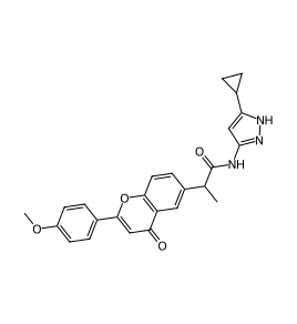 COc1ccc(-c2cc(=O)c3cc(C(C)C(=O)Nc4cc(C5CC5)[nH]n4)ccc3o2)cc1